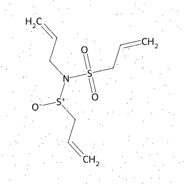 C=CCN([S+]([O-])CC=C)S(=O)(=O)CC=C